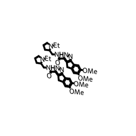 CCN1CCCC1CNC(=O)c1[nH]nc2c1Cc1cc(OC)c(OC)cc1-2.CCN1CCCC1CNC(=O)c1[nH]nc2c1Cc1cc(OC)c(OC)cc1-2